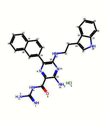 Cl.N=C(N)NC(=O)c1nc(-c2ccc3ccccc3c2)c(NCCc2c[nH]c3ccccc23)nc1N